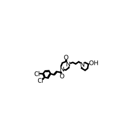 O=C(/C=C/c1ccc(Cl)c(Cl)c1)N1CCC(=O)N(CCCN2CCC[C@@H](O)C2)CC1